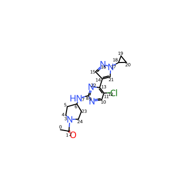 CC(=O)N1CCC(Nc2ncc(Cl)c(-c3cnn(C4CC4)c3)n2)CC1